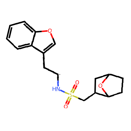 O=S(=O)(CC1CC2CCC1O2)N[CH]Cc1coc2ccccc12